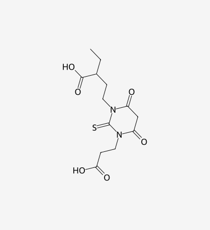 CCC(CCN1C(=O)CC(=O)N(CCC(=O)O)C1=S)C(=O)O